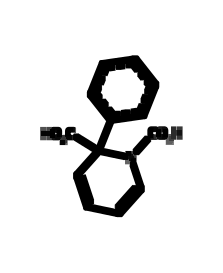 O=C(O)N1C=CC=CC1(C(=O)O)c1ccccc1